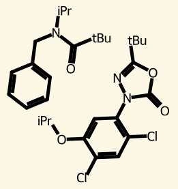 CC(C)N(Cc1ccccc1)C(=O)C(C)(C)C.CC(C)Oc1cc(-n2nc(C(C)(C)C)oc2=O)c(Cl)cc1Cl